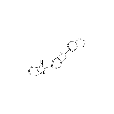 c1ccc2[nH]c(-c3ccc4c(c3)SC(c3ccc5c(c3)CCO5)C4)nc2c1